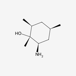 C[C@H]1C[C@@H](N)[C@](C)(O)[C@@H](C)C1